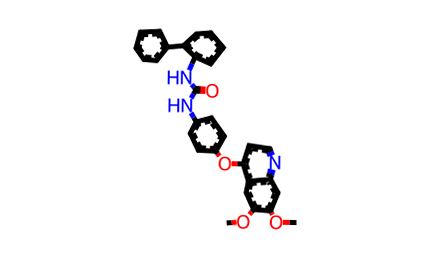 COc1cc2nccc(Oc3ccc(NC(=O)Nc4ccccc4-c4ccccc4)cc3)c2cc1OC